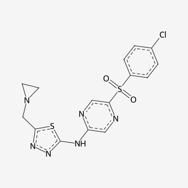 O=S(=O)(c1ccc(Cl)cc1)c1cnc(Nc2nnc(CN3CC3)s2)cn1